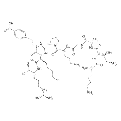 C[C@H](NC(=O)[C@@H](NC(=O)[C@@H](N)CCCCN)[C@@H](O)CN)C(=O)NCC(=O)N[C@H](CCCN)C(=O)N1CCC[C@H]1C(O)N[C@@H](CCc1ccc(C(=O)O)cc1)C(=O)N[C@@H](CCCCN)C(=O)N/C(=C\CCNC(=N)N)C(=O)O